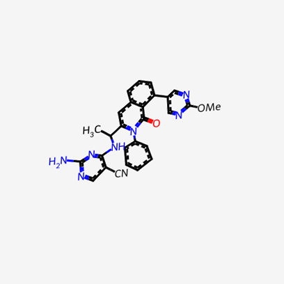 COc1ncc(-c2cccc3cc(C(C)Nc4nc(N)ncc4C#N)n(-c4ccccc4)c(=O)c23)cn1